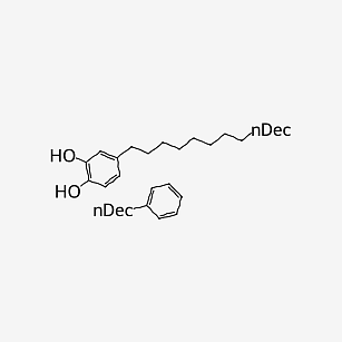 CCCCCCCCCCCCCCCCCCc1ccc(O)c(O)c1.CCCCCCCCCCc1ccccc1